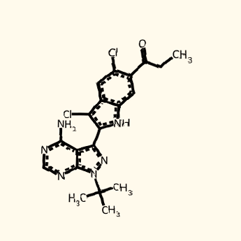 CCC(=O)c1cc2[nH]c(-c3nn(C(C)(C)C)c4ncnc(N)c34)c(Cl)c2cc1Cl